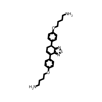 NCCCCOc1ccc(C2=CCC(c3ccc(OCCCCN)cc3)c3nsnc32)cc1